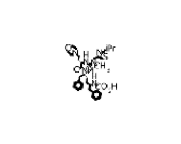 CC(C)c1nc(CN(C)C(=O)N[C@@H](CCN2CCOCC2)C(=O)N[C@H](CCC(Cc2ccccc2)NC(=O)O)Cc2ccccc2)cs1